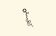 C=CC(=O)OCCCCC(I)c1ccccc1